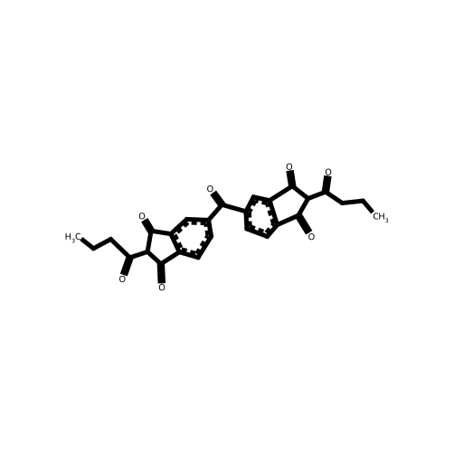 CCCC(=O)C1C(=O)c2ccc(C(=O)c3ccc4c(c3)C(=O)C(C(=O)CCC)C4=O)cc2C1=O